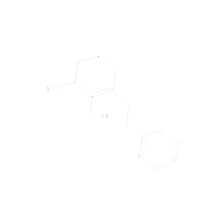 CC(C)(C)C1CCCC(SCc2ccccc2)=C1C(=O)O